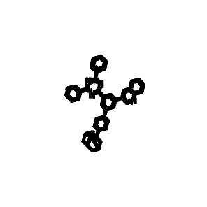 c1ccc(-c2nc(-c3ccccc3)nc(-c3cc(-c4ccc(C56CC7CC(CC(C7)C5)C6)cc4)cc(-c4cnc5ccccc5c4)c3)n2)cc1